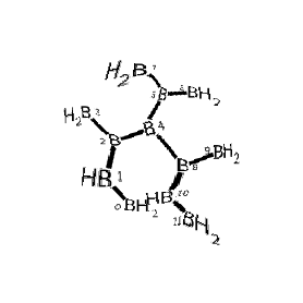 BBB(B)B(B(B)B)B(B)BB